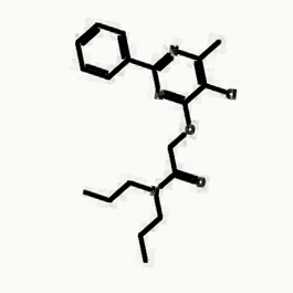 CCCN(CCC)C(=O)COc1nc(-c2ccccc2)nc(C)c1Cl